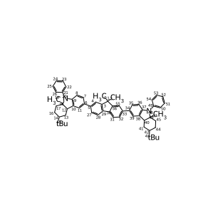 CC1(C)c2cc(-c3ccc4c(c3)C3CC(C(C)(C)C)CCC3(C)N4c3ccccc3)ccc2-c2ccc(-c3ccc4c(c3)C3CC(C(C)(C)C)CCC3(C)N4c3ccccc3)cc21